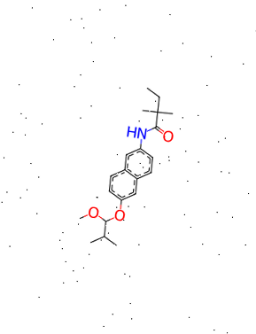 CCC(C)(C)C(=O)Nc1ccc2cc(OC(OC)C(C)C)ccc2c1